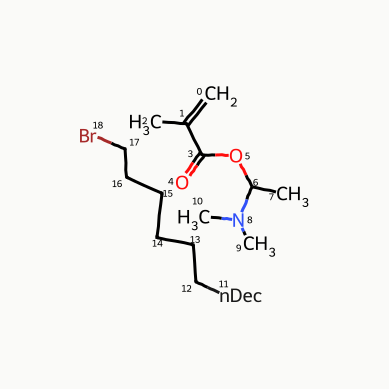 C=C(C)C(=O)OC(C)N(C)C.CCCCCCCCCCCCCCCCBr